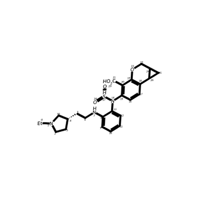 CCN1CC[C@@H](CCNc2ccccc2N(c2ccc3c(c2C(=O)O)OCC2CC32)[SH](=O)=O)C1